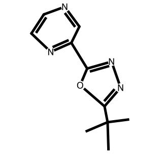 CC(C)(C)c1nnc(-c2cnccn2)o1